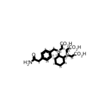 NC(=O)Cc1ccc(CN(CC(=O)O)C2CCCCC2N(CC(=O)O)CC(=O)O)cc1